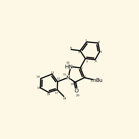 CCCCc1c(-c2ccccc2C)[nH]n(-c2ccccc2C)c1=O